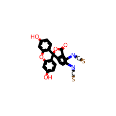 O=C1OC2(c3ccc(O)cc3Oc3cc(O)ccc32)c2ccc(N=C=S)c(N=C=S)c21